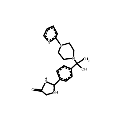 CC(O)(c1ccc(C2NCC(=O)N2)cc1)N1CCN(c2ccccn2)CC1